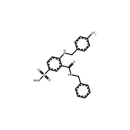 CNS(=O)(=O)c1ccc(NCc2ccc(C(F)(F)F)cc2)c(C(=O)NCc2ccccc2)c1